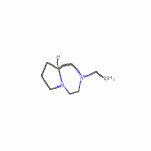 CCN1CCN2CCC[C@@H]2C1